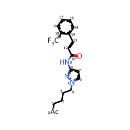 CC(=O)CCCCn1ccc(NC(=O)C=Cc2ccccc2C(F)(F)F)n1